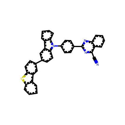 N#Cc1nc(-c2ccc(-n3c4ccccc4c4cc(-c5ccc6sc7ccccc7c6c5)ccc43)cc2)nc2ccccc12